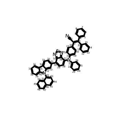 N#CC(=C(c1ccccc1)c1ccccc1)c1ccc(N(c2ccccc2)c2ccc(-c3ccc4c5ccccc5n(-c5cccc6ccccc56)c4c3)c3nsnc23)cc1